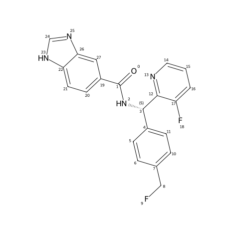 O=C(N[C@@H](c1ccc(CF)cc1)c1ncccc1F)c1ccc2[nH]cnc2c1